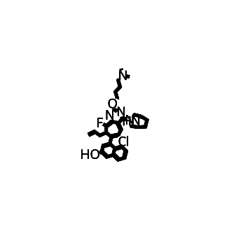 C=CCC1C(c2cc(O)cc3ccccc23)=C(Cl)C=c2c(N3CC4CCC(C3)N4)nc(OCCCCN(C)C)nc2=C1F